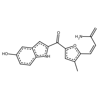 C=C(N)/C=C\c1oc(C(=O)c2cc3cc(O)ccc3[nH]2)cc1C